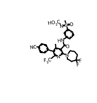 Cc1c(C(=O)Nc2cccc(S(C)(=O)=NC(=O)O)c2)c(N2CCCC(F)(F)CC2)nc(C(F)(F)F)c1-c1ccc(C#N)cc1